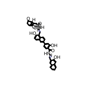 CC1(C)C2CC(=O)[C@@H]1C(CS(=O)(=O)N/N=C/c1c(O)ccc3cc(-c4ccc(C(=O)N/N=C/c5cc6ccccc6cc5O)c(O)c4)ccc13)C2